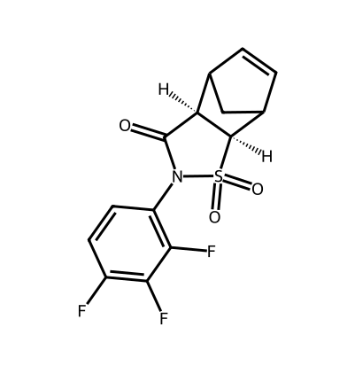 O=C1[C@H]2C3C=CC(C3)[C@H]2S(=O)(=O)N1c1ccc(F)c(F)c1F